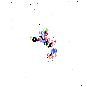 O=C(O)C1=C(CSc2nnnn2CC(O)C(=O)O)CS[C@H]2C(NC(=O)C(=NOCc3ccc(F)cc3)c3csc(NC(=O)C(F)(F)F)n3)C(=O)N12